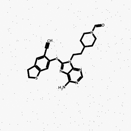 C#Cc1cc2c(cc1Sc1nc3c(N)ncnc3n1CCC1CCN(C=O)CC1)SCC2